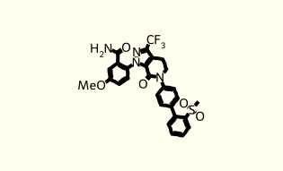 COc1ccc(-n2nc(C(F)(F)F)c3c2C(=O)N(c2ccc(-c4ccccc4S(C)(=O)=O)cc2)CC3)c(C(N)=O)c1